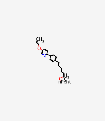 C=CCOc1ccc(-c2ccc(C=CCCCC(C)OCCCCC)cc2)nc1